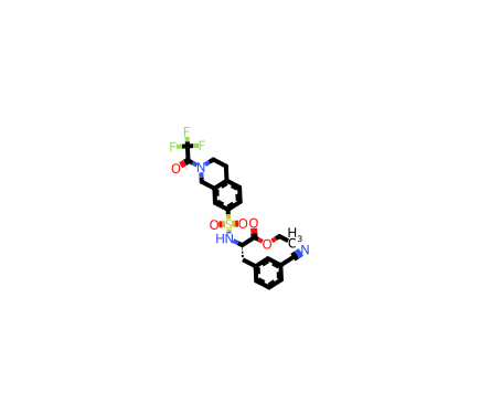 CCOC(=O)[C@H](Cc1cccc(C#N)c1)NS(=O)(=O)c1ccc2c(c1)CN(C(=O)C(F)(F)F)CC2